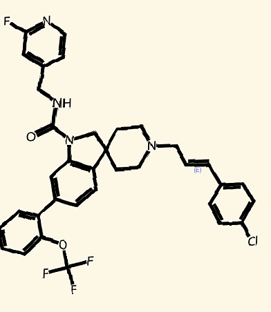 O=C(NCc1ccnc(F)c1)N1CC2(CCN(C/C=C/c3ccc(Cl)cc3)CC2)c2ccc(-c3ccccc3OC(F)(F)F)cc21